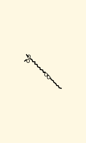 CCCCCCCCCOCOC=CCCCCCCCCCC(OCC)OCC